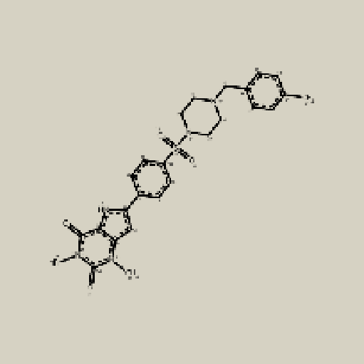 CCCn1c(=O)c2[nH]c(-c3ccc(S(=O)(=O)N4CCN(Cc5ccc(C(F)(F)F)cc5)CC4)cc3)cc2n(C)c1=O